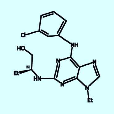 CC[C@@H](CO)Nc1nc(Nc2cccc(Cl)c2)c2ncn(CC)c2n1